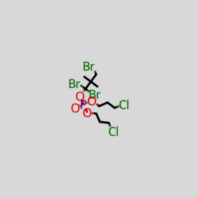 CC(C)(CBr)C(Br)(Br)OP(=O)(OCCCCl)OCCCCl